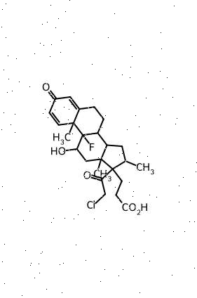 CC1CC2C3CCC4=CC(=O)C=CC4(C)C3(F)C(O)CC2(C)C1(CCC(=O)O)C(=O)CCl